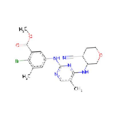 COC(=O)c1cc(Nc2ncc(C)c(NC3COCCC3C#N)n2)cc(C)c1Br